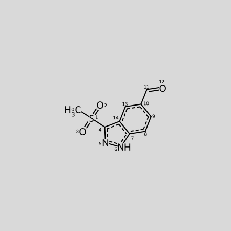 CS(=O)(=O)c1n[nH]c2ccc(C=O)cc12